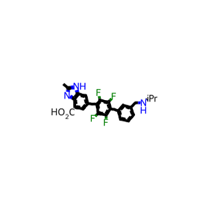 Cc1nc2c(C(=O)O)cc(-c3c(F)c(F)c(-c4cccc(CNC(C)C)c4)c(F)c3F)cc2[nH]1